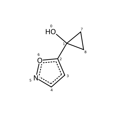 OC1(c2ccno2)CC1